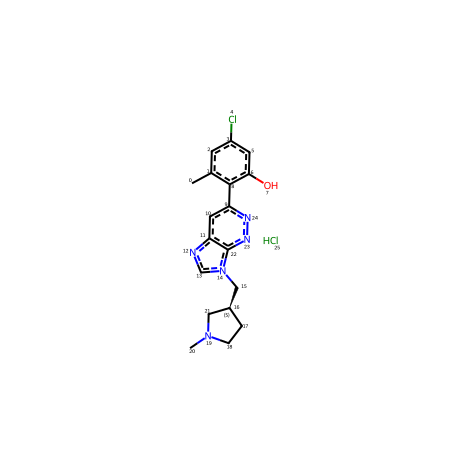 Cc1cc(Cl)cc(O)c1-c1cc2ncn(C[C@H]3CCN(C)C3)c2nn1.Cl